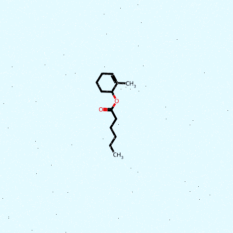 CCCCCC(=O)OC1CCCC=C1C